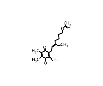 CC/C(=C\CC1=C(C)C(=O)C(C)=C(C)C1=O)CCCCOC(C)=O